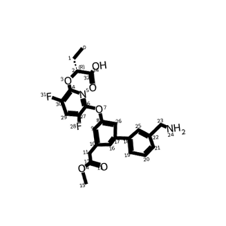 CC[C@@H](Oc1nc(Oc2cc(CC(=O)OC)cc(-c3cccc(CN)c3)c2)c(F)cc1F)C(=O)O